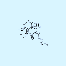 CC=CC=C1C[C@]2(C)CCCC(O)C2=C(C)C1=O